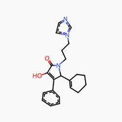 O=C1C(O)=C(c2ccccc2)C(C2=CCCCC2)N1CCCn1ccnc1